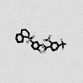 O=C(Nc1cc(S(=O)(=O)N2CCCc3ccccc32)ccc1Cl)c1ccc(C(F)(F)F)cc1[N+](=O)[O-]